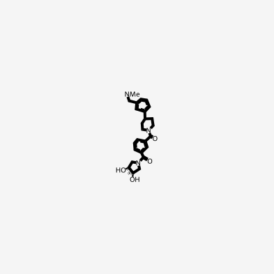 CNCc1cccc(C2CCN(C(=O)c3cccc(C(=O)N4C[C@@H](O)[C@@H](O)C4)c3)CC2)c1